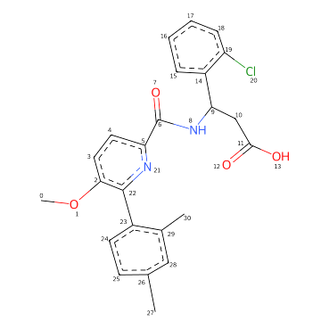 COc1ccc(C(=O)NC(CC(=O)O)c2ccccc2Cl)nc1-c1ccc(C)cc1C